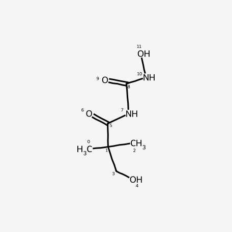 CC(C)(CO)C(=O)NC(=O)NO